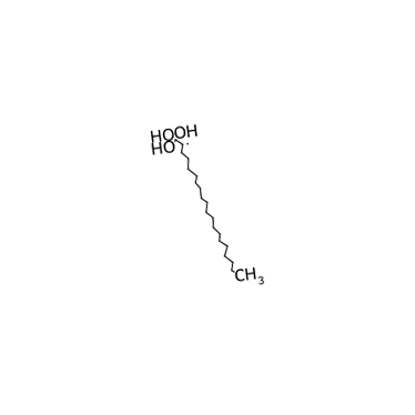 CCCCCCCCCCCCCCCCCC[CH]C(O)(O)O